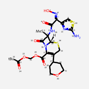 CSC1(NC(=O)/C(=N\O)c2csc(N)n2)C(=O)N2C(C(=O)OCOC(=O)C(C)(C)C)=C(C3CCOCC3)CS[C@H]21